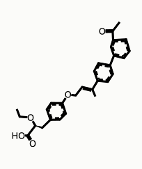 CCO[C@@H](Cc1ccc(OC/C=C(\C)c2ccc(-c3cccc(C(C)=O)c3)cc2)cc1)C(=O)O